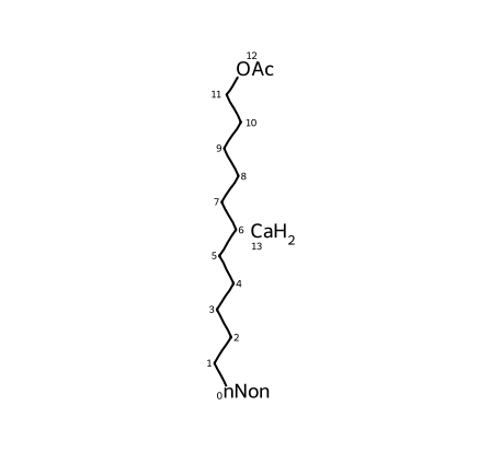 CCCCCCCCCCCCCCCCCCCCOC(C)=O.[CaH2]